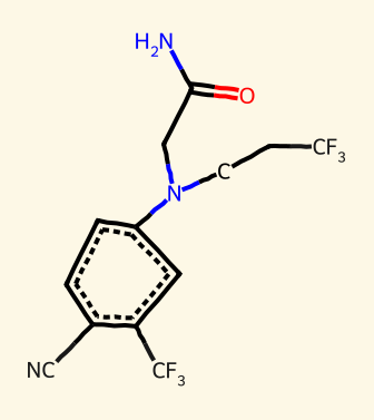 N#Cc1ccc(N(CCC(F)(F)F)CC(N)=O)cc1C(F)(F)F